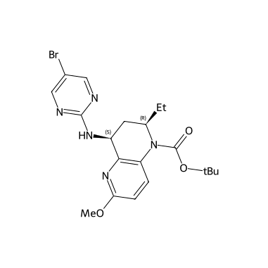 CC[C@@H]1C[C@H](Nc2ncc(Br)cn2)c2nc(OC)ccc2N1C(=O)OC(C)(C)C